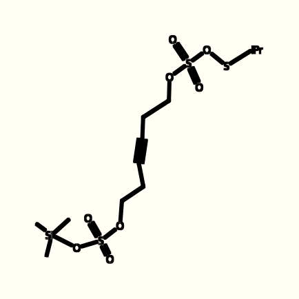 CC(C)SOS(=O)(=O)OCCC#CCCOS(=O)(=O)O[Si](C)(C)C